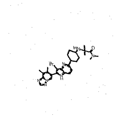 Cc1c(-c2[nH]c3ccc(C4CCC(NC(C)(C)C(=O)N(C)C)CC4)nc3c2C(C)C)cn2ncnc2c1C